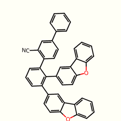 N#Cc1cc(-c2ccccc2)ccc1-c1cccc(-c2ccc3oc4ccccc4c3c2)c1-c1ccc2oc3ccccc3c2c1